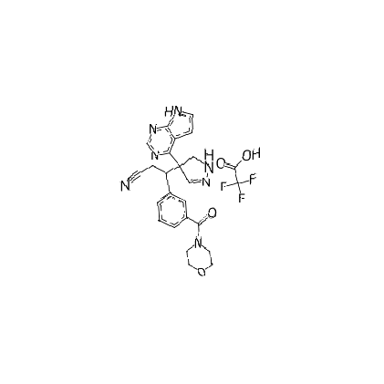 N#CCC(c1cccc(C(=O)N2CCOCC2)c1)C1(c2ncnc3[nH]ccc23)C=NNC1.O=C(O)C(F)(F)F